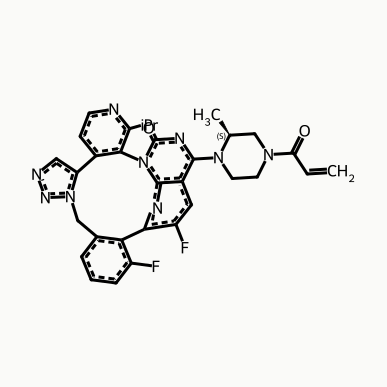 C=CC(=O)N1CCN(c2nc(=O)n3c4nc(c(F)cc24)-c2c(F)cccc2Cn2nncc2-c2ccnc(C(C)C)c2-3)[C@@H](C)C1